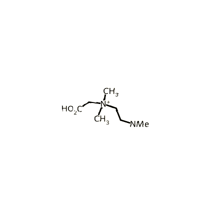 CNCC[N+](C)(C)CC(=O)O